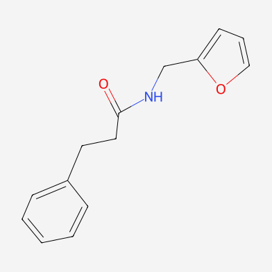 O=C(CCc1ccccc1)NCc1ccco1